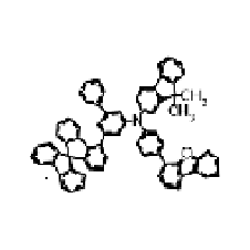 CC1(C)c2ccccc2-c2ccc(N(c3ccc(-c4cccc5c4oc4ccccc45)cc3)c3cc(-c4ccccc4)cc(-c4cccc5c4-c4ccccc4C54c5ccccc5-c5ccccc54)c3)cc21